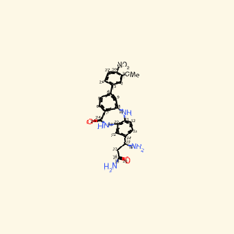 COc1cc(-c2ccc3c(c2)Nc2ccc(C(N)CC(N)=O)cc2NC3=O)ccc1[N+](=O)[O-]